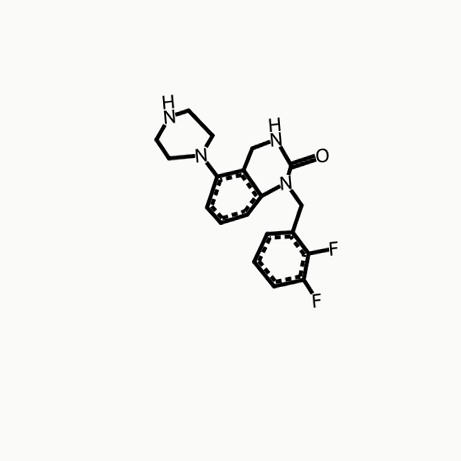 O=C1NCc2c(N3CCNCC3)cccc2N1Cc1cccc(F)c1F